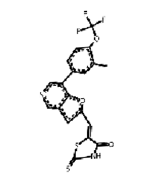 Cc1cc(-c2cncc3cc(/C=C4\SC(=S)NC4=O)oc23)ccc1OC(F)(F)F